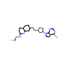 FC(F)CNc1ccc2ccc(CCC3CCC(n4ccc5c(Cl)ncnc54)C3)cc2n1